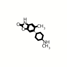 CN[C@H]1CC[C@H](c2cc3oc(=O)[nH]c3cc2C)CC1